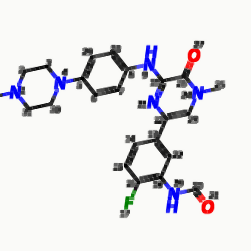 CN1CCN(c2ccc(Nc3nc(-c4ccc(F)c(NC=O)c4)cn(C)c3=O)cc2)CC1